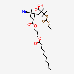 CCCCCCCCCC(=O)OCCCOC(=O)CCC(C)(C#N)C(C)(C)CC(C)(C(=O)O)C(C)(C)SC(=S)SCC